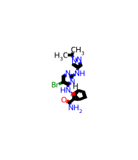 CC(C)n1cc(Nc2ncc(Br)c(N[C@H]3C(C(N)=O)C4C=C[C@H]3C4)n2)cn1